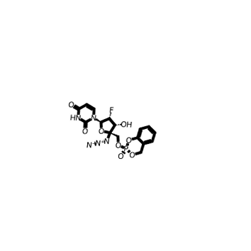 [N-]=[N+]=N[C@]1(COP2(=O)OCc3ccccc3O2)O[C@@H](n2ccc(=O)[nH]c2=O)[C@H](F)[C@@H]1O